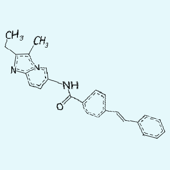 CCc1nc2ccc(NC(=O)c3ccc(C=Cc4ccccc4)cc3)cn2c1C